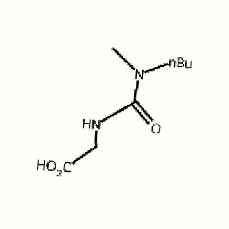 CCCCN(C)C(=O)NCC(=O)O